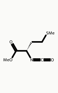 COC(=O)[C@H](CCSC)N=C=O